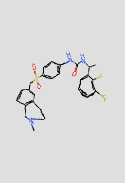 CC(NC(=O)Nc1ccc(S(=O)(=O)Cc2ccc3c(c2)CCN(C)C3)cc1)c1cccc(F)c1F